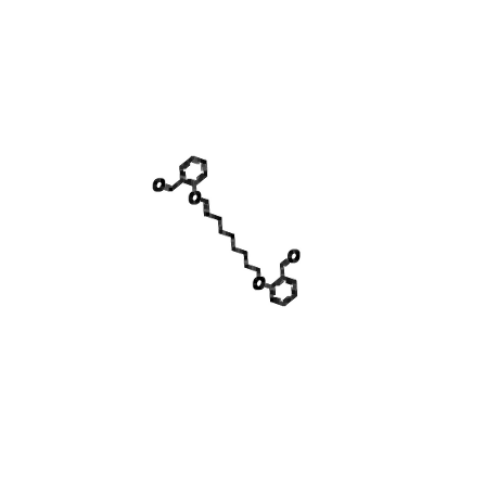 O=Cc1ccccc1OC=CCCCCCCCOc1ccccc1C=O